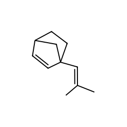 CC(C)=CC12C=CC(CC1)C2